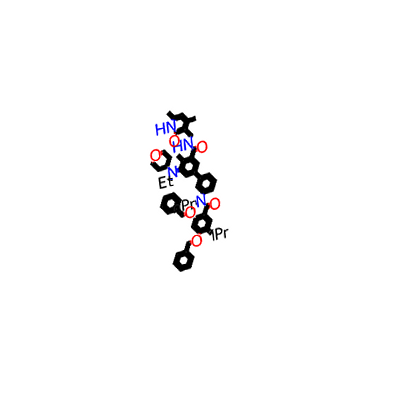 CCCN(C(=O)c1cc(C(C)C)c(OCc2ccccc2)cc1OCc1ccccc1)c1cccc(-c2cc(C(=O)NCc3c(C)cc(C)[nH]c3=O)c(C)c(N(CC)C3CCOCC3)c2)c1